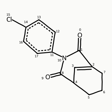 O=C1C2=CC(CCC2)C(=O)N1c1ccc(Cl)cc1